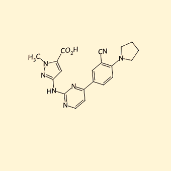 Cn1nc(Nc2nccc(-c3ccc(N4CCCC4)c(C#N)c3)n2)cc1C(=O)O